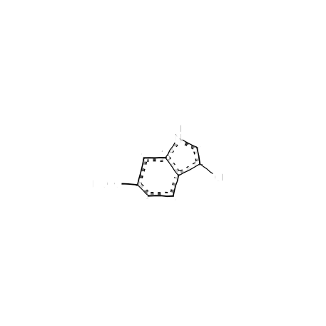 Cc1c[nH]c2cc(C(=O)O)ccc12